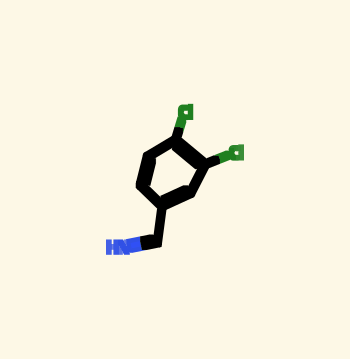 N=Cc1ccc(Cl)c(Cl)c1